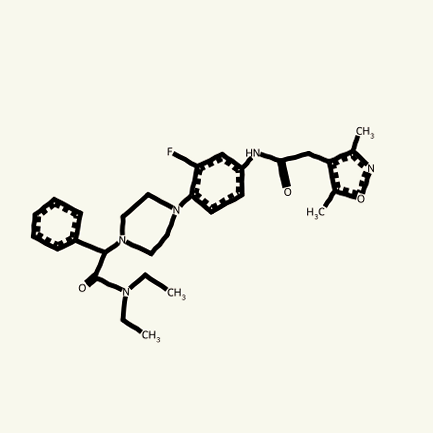 CCN(CC)C(=O)C(c1ccccc1)N1CCN(c2ccc(NC(=O)Cc3c(C)noc3C)cc2F)CC1